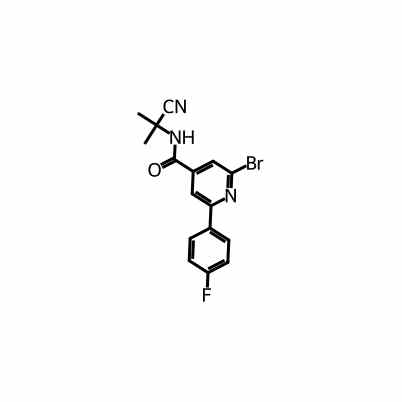 CC(C)(C#N)NC(=O)c1cc(Br)nc(-c2ccc(F)cc2)c1